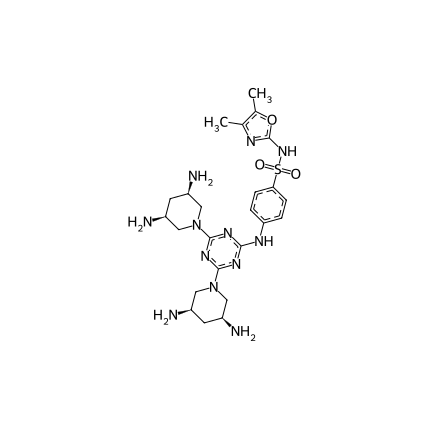 Cc1nc(NS(=O)(=O)c2ccc(Nc3nc(N4C[C@H](N)C[C@H](N)C4)nc(N4C[C@H](N)C[C@H](N)C4)n3)cc2)oc1C